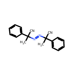 CC(C#N)(/N=N/C(C)(C#N)c1ccccc1)c1ccccc1